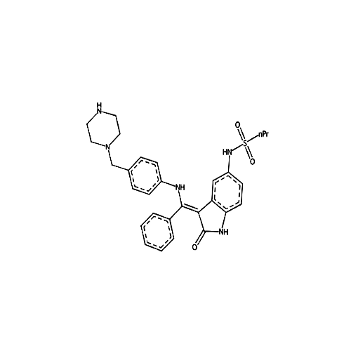 CCCS(=O)(=O)Nc1ccc2c(c1)/C(=C(\Nc1ccc(CN3CCNCC3)cc1)c1ccccc1)C(=O)N2